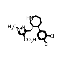 Cn1cc(C(=O)O)c(C[C@@H]2CNCCC[C@H]2c2ccc(Cl)c(Cl)c2)n1